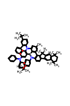 Cc1cc2c3c(c1)N(c1ccc(C(C)(C)C)cc1-c1ccccc1)c1ccc(N(c4ccccc4)c4ccccc4)cc1B3N(c1ccc(C(C)(C)C)cc1)c1ccc3c(c1-2)C(C)(C)c1cc2c(cc1-3)C(C)(C)CCC2(C)C